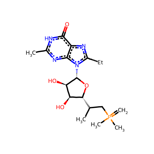 C=P(C)(C)CC(C)[C@H]1O[C@@H](n2c(CC)nc3c(=O)[nH]c(C)nc32)[C@H](O)[C@@H]1O